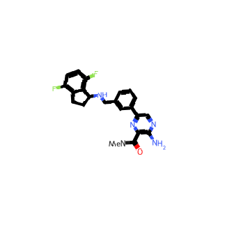 CNC(=O)c1nc(-c2cccc(CNC3CCc4c(F)ccc(F)c43)c2)cnc1N